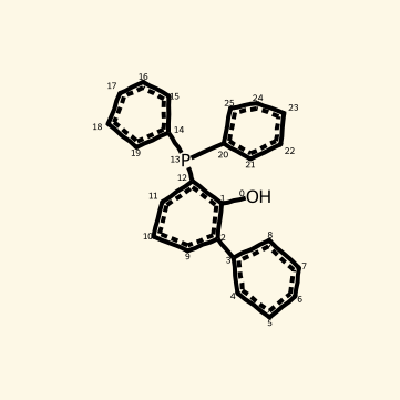 Oc1c(-c2ccccc2)cccc1P(c1ccccc1)c1ccccc1